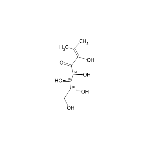 CC(C)=C(O)C(=O)[C@@H](O)[C@H](O)[C@H](O)CO